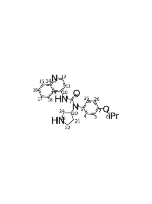 CC(C)Oc1ccc(N(C(=O)Nc2ccnc3ccccc23)C2CCNC2)cc1